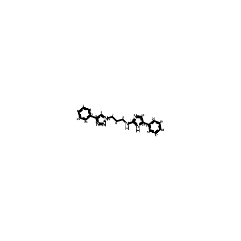 c1ccc(-c2cn(CCCNc3ncc(-c4ccccc4)[nH]3)nn2)cc1